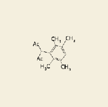 CC(=O)C(C(C)=O)c1c(C)c(C)cc(C)c1C